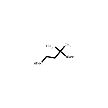 CCCCCCCCCCCCC(C)(CCCCCCCCCC)C(=O)O